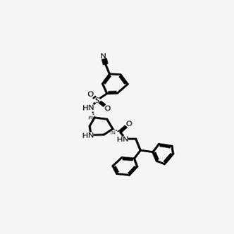 N#Cc1cccc(S(=O)(=O)N[C@H]2CNC[C@@H](C(=O)NCC(c3ccccc3)c3ccccc3)C2)c1